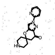 O=C1CC2(CCNCC2)Oc2cn(-c3ccccn3)nc21